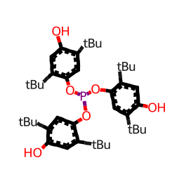 CC(C)(C)c1cc(OP(Oc2cc(C(C)(C)C)c(O)cc2C(C)(C)C)Oc2cc(C(C)(C)C)c(O)cc2C(C)(C)C)c(C(C)(C)C)cc1O